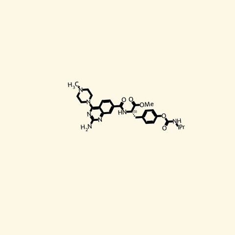 COC(=O)[C@H](Cc1ccc(OC(=O)NC(C)C)cc1)NC(=O)c1ccc2c(N3CCN(C)CC3)nc(N)nc2c1